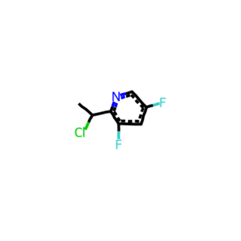 CC(Cl)c1ncc(F)cc1F